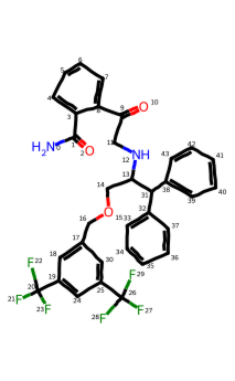 NC(=O)c1ccccc1C(=O)CNC(COCc1cc(C(F)(F)F)cc(C(F)(F)F)c1)C(c1ccccc1)c1ccccc1